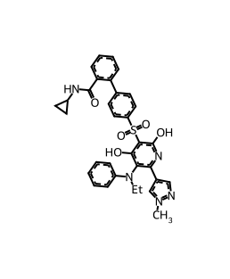 CCN(c1ccccc1)c1c(-c2cnn(C)c2)nc(O)c(S(=O)(=O)c2ccc(-c3ccccc3C(=O)NC3CC3)cc2)c1O